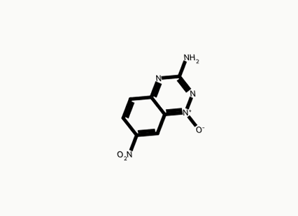 Nc1nc2ccc([N+](=O)[O-])cc2[n+]([O-])n1